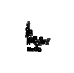 C=CCOC(=O)S[C@@H]1CN[C@H](C(=O)Nc2cc(C(=O)OC)cc(C(=O)OCC=C)c2)C1